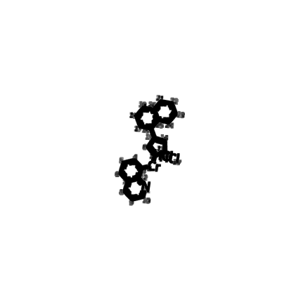 C1=[C]([Cr][c]2cccc3cccnc23)CC=C1c1cccc2ccccc12.Cl.Cl